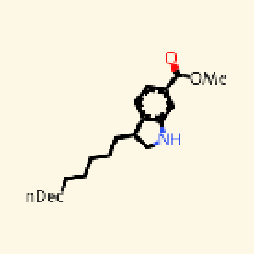 CCCCCCCCCCCCCCCC1CNc2cc(C(=O)OC)ccc21